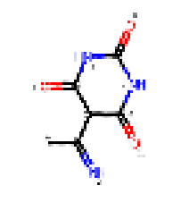 CC(=N)C1C(=O)NC(=O)NC1=O